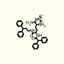 N/C(=N/[N+](=O)[O-])C(N)CCC(NC(=O)C(c1ccccc1)c1ccccc1)C(=O)NCCC(c1ccccc1)c1ccccc1